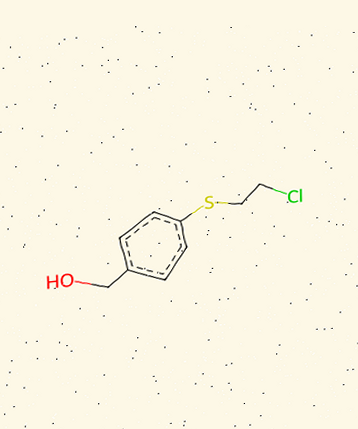 OCc1ccc(SCCCl)cc1